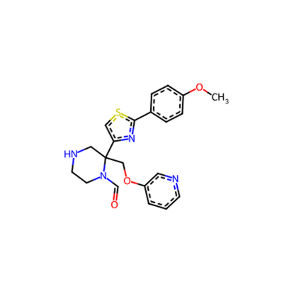 COc1ccc(-c2nc(C3(COc4cccnc4)CNCCN3C=O)cs2)cc1